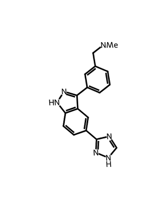 CNCc1cccc(-c2n[nH]c3ccc(-c4nc[nH]n4)cc23)c1